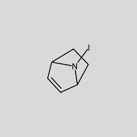 IN1C2C=CC1CC2